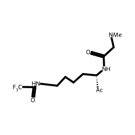 CNCC(=O)N[C@@H](CCCCNC(=O)C(F)(F)F)C(C)=O